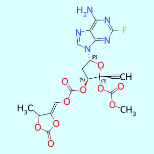 C#C[C@]1(OC(=O)OC)O[C@@H](n2cnc3c(N)nc(F)nc32)C[C@@H]1OC(=O)OC=C1OC(=O)OC1C